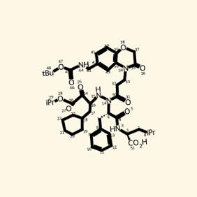 CC(C)C[C@H](NC(=O)[C@H](Cc1ccccc1)N(NC(CC1CCCCC1)C(=O)C(=O)OC(C)C)C(=O)CCN1C(=O)COc2ccc(CNC(=O)OC(C)(C)C)cc21)C(=O)O